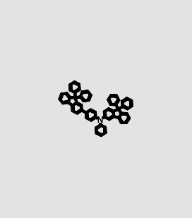 c1ccc(N(c2ccc(-c3ccc4c(c3)C(c3ccccc3)(c3ccccc3)c3ccccc3-4)cc2)c2ccc3c(c2)-c2ccccc2C3(c2ccccc2)c2ccccc2)cc1